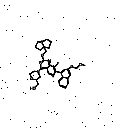 COCOc1cc(-c2ncc3c(N4CCOC(CO)C4)nc(OCC45CCCN4CCC5)nc3c2F)c2ccccc2c1